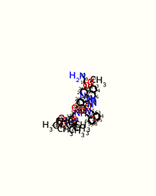 COc1ccc(Cn2nnc(-c3c(N4CCC(OCCN)CC4)ccc(S(=O)(=O)NCC(CNC(=O)OC(C)(C)C)O[Si](C)(C)C(C)(C)C)c3S(=O)(=O)N(Cc3ccccc3)Cc3ccccc3)n2)cc1